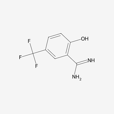 N=C(N)c1cc(C(F)(F)F)ccc1O